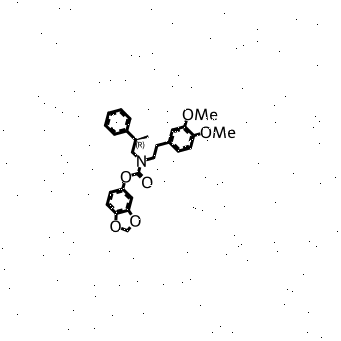 COc1ccc(CCN(C[C@H](C)c2ccccc2)C(=O)Oc2ccc3c(c2)OCO3)cc1OC